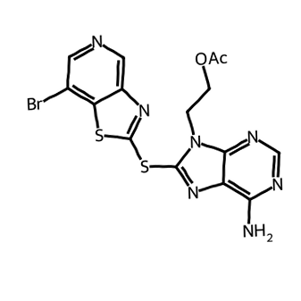 CC(=O)OCCn1c(Sc2nc3cncc(Br)c3s2)nc2c(N)ncnc21